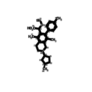 Cc1ccc(-c2c(C)c3c(c(C)c2C(OC(C)(C)C)C(=O)O)CCN(C2CC[C@@H](C)C2)C3)cc1